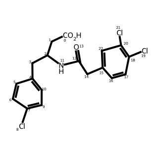 O=C(O)CC(Cc1ccc(Cl)cc1)NC(=O)Cc1ccc(Cl)c(Cl)c1